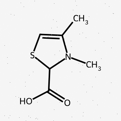 CC1=CSC(C(=O)O)N1C